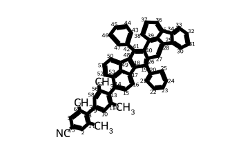 Cc1cc(C#N)cc(C)c1-c1cc(C)c(-c2ccc3c4c(-c5ccccc5)c5cc6c7ccccc7c7cccc(c5c(-c5ccccc5)c4c4cccc2c34)c76)c(C)c1